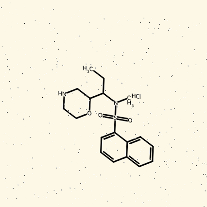 CCC(C1CNCCO1)N(C)S(=O)(=O)c1cccc2ccccc12.Cl